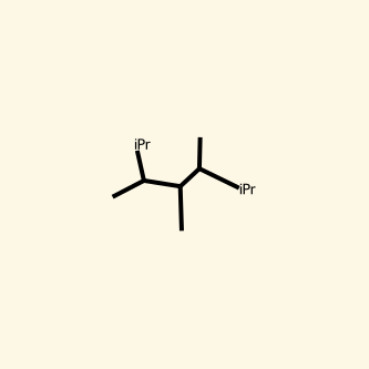 [CH2]C(C)C(C)C(C)C(C)C(C)C